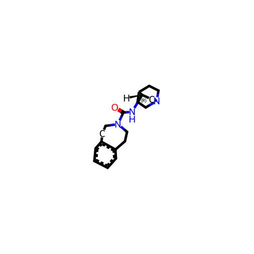 O=C(N[C@H]1CN2CCC1CC2)N1CCc2ccccc2CC1